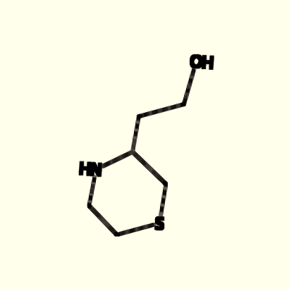 OCCC1CSCCN1